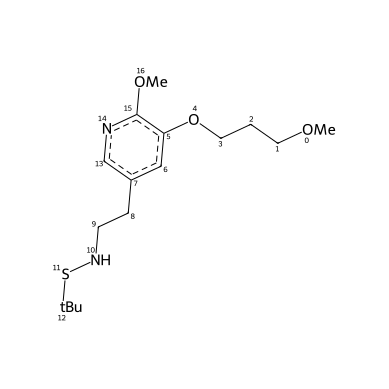 COCCCOc1cc(CCNSC(C)(C)C)cnc1OC